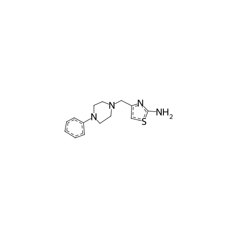 Nc1nc(CN2CCN(c3ccccc3)CC2)cs1